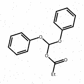 CCC(=O)OC(Oc1ccccc1)Oc1ccccc1